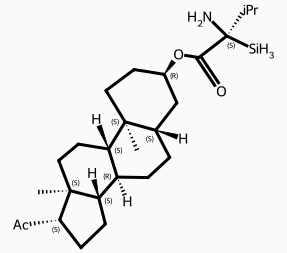 CC(=O)[C@H]1CC[C@H]2[C@@H]3CC[C@H]4C[C@H](OC(=O)[C@@](N)([SiH3])C(C)C)CC[C@]4(C)[C@H]3CC[C@]12C